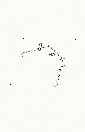 CC(C)CCCCCCCOC(=O)CCC(C)(C)CCCC(O)CCCC(C)(C)CCC(=O)OCCCCCCCC(C)C